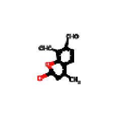 Cc1cc(=O)oc2c(C=O)c(C=O)ccc12